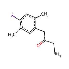 BCC(=O)Cc1cc(C)c(I)cc1C